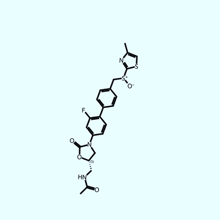 CC(=O)NC[C@H]1CN(c2ccc(-c3ccc(C[S+]([O-])c4nc(C)cs4)cc3)c(F)c2)C(=O)O1